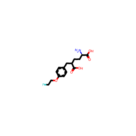 N[C@H](CCC(Cc1ccc(OCCF)cc1)C(=O)O)C(=O)O